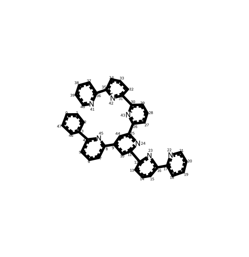 c1ccc(-c2cccc(-c3cc(-c4cccc(-c5ccccn5)n4)nc(-c4cccc(-c5cccc(-c6ccccn6)n5)n4)c3)n2)cc1